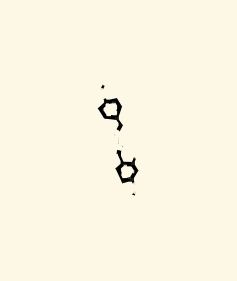 COc1ccc(C=NN=Cc2ccc(OC)cc2F)cc1